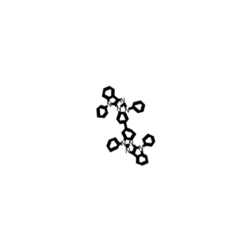 c1ccc(-n2c3cc(-c4ccc5c(c4)n(-c4ccccc4)c4nc6c7ccccc7n(-c7ccccc7)c6n54)ccc3n3c2nc2c4ccccc4n(-c4ccccc4)c23)cc1